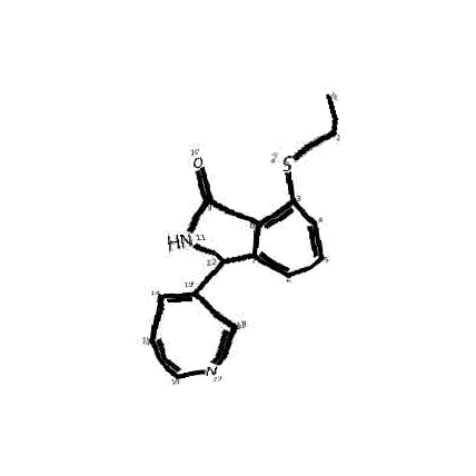 CCSc1cccc2c1C(=O)NC2c1cccnc1